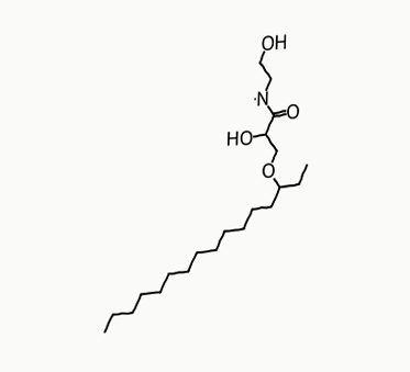 CCCCCCCCCCCCCC(CC)OCC(O)C(=O)[N]CCO